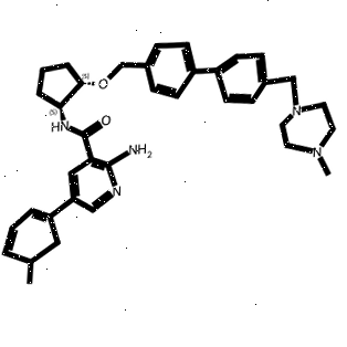 CC1C=CC=C(c2cnc(N)c(C(=O)N[C@H]3CCC[C@@H]3OCc3ccc(-c4ccc(CN5CCN(C)CC5)cc4)cc3)c2)C1